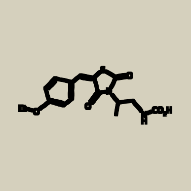 CCOc1ccc(C=C2SC(=O)N(C(C)CNC(=O)O)C2=O)cc1